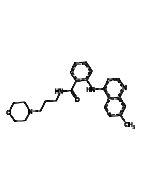 Cc1ccc2c(Nc3ccccc3C(=O)NCCCN3CCOCC3)ccnc2c1